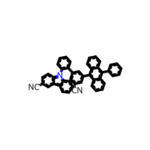 N#Cc1cc(-c2ccccc2-n2c3ccccc3c3cc(C#N)ccc32)cc(-c2c3ccccc3c(-c3ccccc3)c3ccccc23)c1